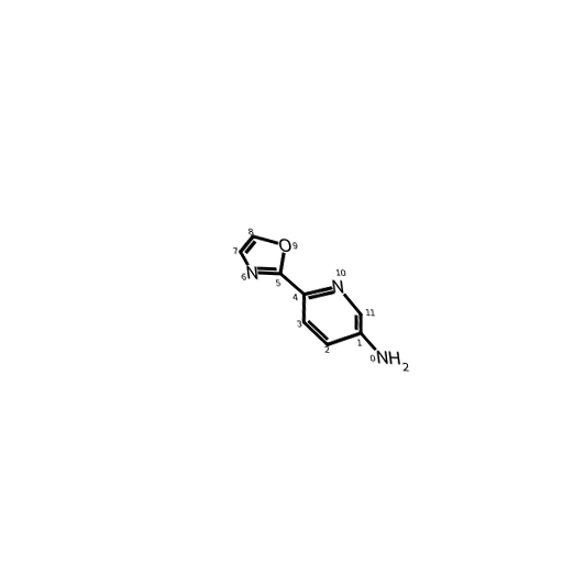 Nc1ccc(-c2ncco2)nc1